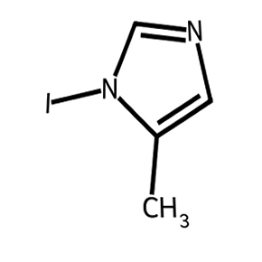 Cc1cncn1I